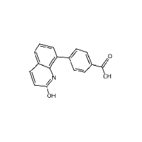 O=C(O)c1ccc(-c2cccc3ccc(O)nc23)cc1